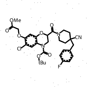 COC(=O)COc1cc2c(cc1Cl)N(C(=O)OC(C)(C)C)CC(C(=O)N1CCC(C#N)(Cc3ccc(F)cc3)CC1)O2